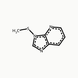 CSn1cnc2cccnc21